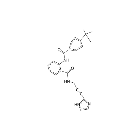 CC(C)(C)c1ccc(C(=O)Nc2ccccc2C(=O)NCCCc2ncc[nH]2)cc1